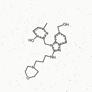 Cc1ccc(O)c(Cn2c(NCCCN3CCOCC3)nc3ccc(CO)cc32)n1